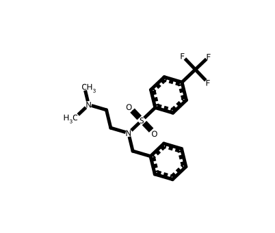 CN(C)CCN(Cc1ccccc1)S(=O)(=O)c1ccc(C(F)(F)F)cc1